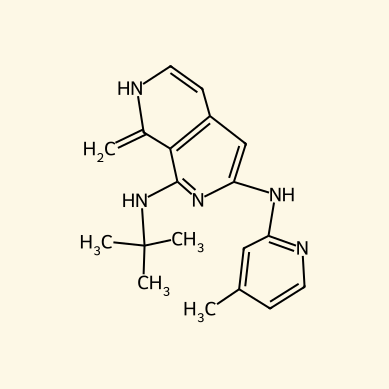 C=C1NC=Cc2cc(Nc3cc(C)ccn3)nc(NC(C)(C)C)c21